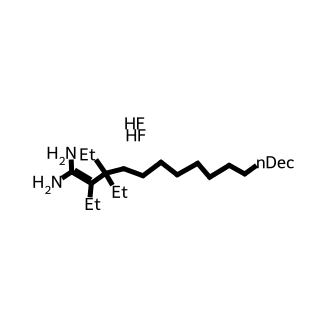 CCCCCCCCCCCCCCCCCCC(CC)(CC)C(CC)=C(N)N.F.F